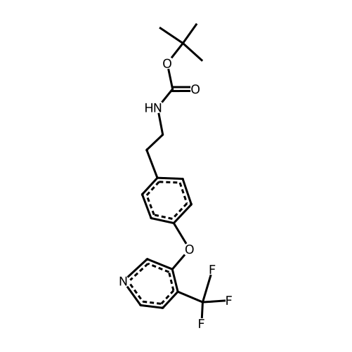 CC(C)(C)OC(=O)NCCc1ccc(Oc2cnccc2C(F)(F)F)cc1